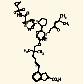 CC[C@@H]1C[C@]1(NC(=O)[C@@H]1CCCN1C(=O)[C@H](CCC(=O)C=C(C)C)NC(=O)OCC(C)(C)CC/C=C/c1cccc2c1CN(C(=O)O)C2)C(=O)NS(=O)(=O)C1CC1